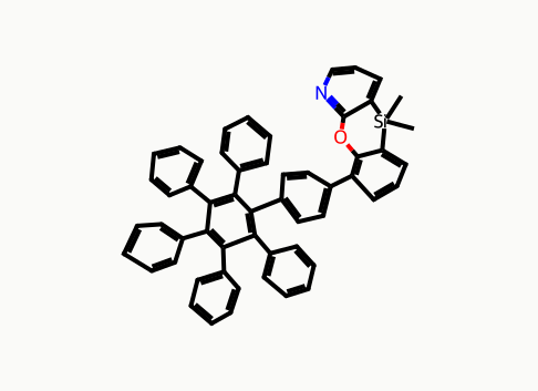 C[Si]1(C)c2cccnc2Oc2c(-c3ccc(-c4c(-c5ccccc5)c(-c5ccccc5)c(-c5ccccc5)c(-c5ccccc5)c4-c4ccccc4)cc3)cccc21